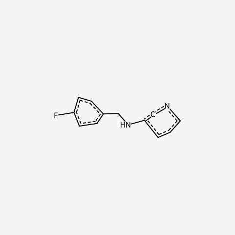 Fc1ccc(CNc2cccnc2)cc1